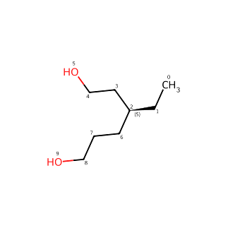 CC[C@H](CCO)CCCO